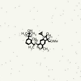 COCC1(C)C(=O)N(C2CC2)c2cc3c(N[C@H](C)c4cccc(C(F)(F)C(C)(C)O)c4C)nnc(C)c3cc21